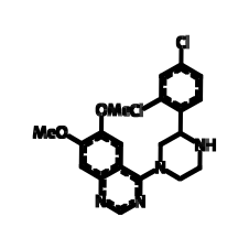 COc1cc2ncnc(N3CCNC(c4ccc(Cl)cc4Cl)C3)c2cc1OC